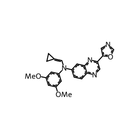 COc1cc(OC)cc(N(C=C2CC2)c2ccc3ncc(-c4cnco4)nc3c2)c1